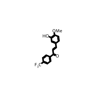 COc1ccc(/C=C/C(=O)c2ccc(C(F)(F)F)cc2)cc1O